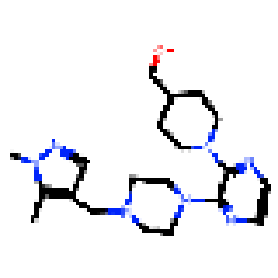 Cc1c(CN2CCN(c3nccnc3N3CCC(CO)CC3)CC2)cnn1C